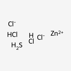 Cl.Cl.S.[Cl-].[Cl-].[Zn+2]